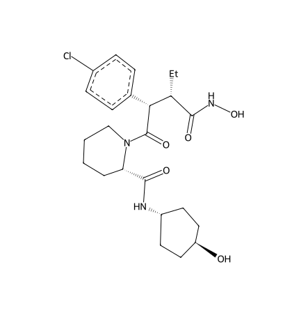 CC[C@H](C(=O)NO)[C@H](C(=O)N1CCCC[C@H]1C(=O)N[C@H]1CC[C@H](O)CC1)c1ccc(Cl)cc1